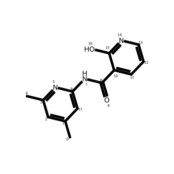 Cc1cc(C)nc(NC(=O)c2cccnc2O)c1